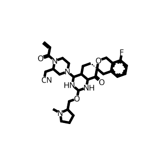 C=CC(=O)N1CCN(C2NC(OCC3CCCN3C)NC3C(=O)[C@]4(CCC32)Cc2cccc(F)c2CO4)CC1CC#N